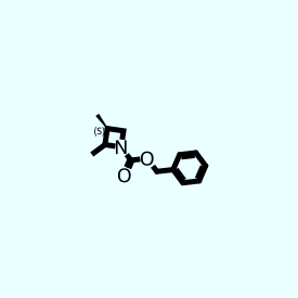 CC1[C@@H](C)CN1C(=O)OCc1ccccc1